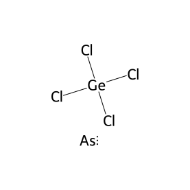 [As].[Cl][Ge]([Cl])([Cl])[Cl]